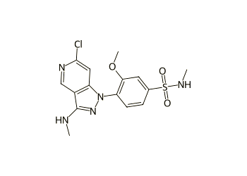 CNc1nn(-c2ccc(S(=O)(=O)NC)cc2OC)c2cc(Cl)ncc12